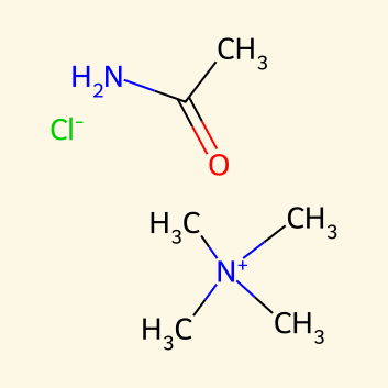 CC(N)=O.C[N+](C)(C)C.[Cl-]